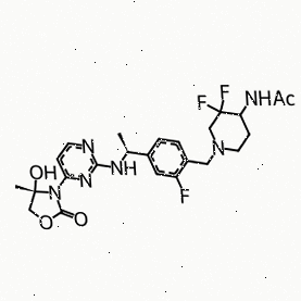 CC(=O)NC1CCN(Cc2ccc([C@H](C)Nc3nccc(N4C(=O)OC[C@]4(C)O)n3)cc2F)CC1(F)F